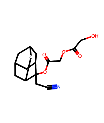 N#CCC1(OC(=O)COC(=O)CO)C2CC3CC(C2)CC1C3